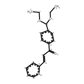 CCOC(OCC)c1ccc(C(=O)/C=C/c2ccccn2)cc1